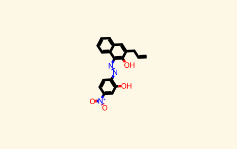 C=CCc1cc2ccccc2c(N=Nc2ccc([N+](=O)[O-])cc2O)c1O